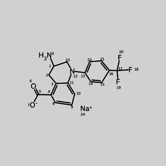 NC1Cc2c(C(=O)[O-])cccc2N(c2ccc(C(F)(F)F)cc2)C1.[Na+]